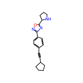 C(#CC1CCCC1)c1ccc(-c2noc(C3CCCN3)n2)cc1